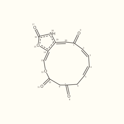 O=C1/C=C\C=C/CC(=O)CC(=O)O/C=c2/oc(=O)[nH]/c2=C/1